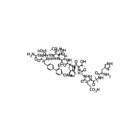 CCCCCCCC[C@H](NC(=O)[C@H](Cc1ccc(-c2ccc(OC)cc2CC)cc1)NC(=O)[C@H](CC(=O)O)NC(=O)[C@H](CO)NC(=O)[C@@H](NC(=O)[C@](C)(Cc1ccccc1F)NC(=O)[C@@H](NC(=O)CNC(=O)[C@H](CCC(=O)O)NC(=O)C(C)(C)NC(=O)[C@@H](N)Cc1c[nH]cn1)[C@@H](C)O)[C@@H](C)O)C(N)=O